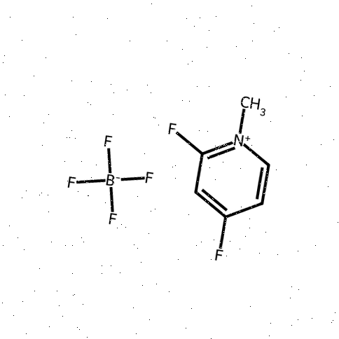 C[n+]1ccc(F)cc1F.F[B-](F)(F)F